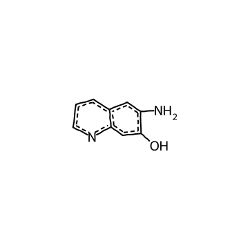 Nc1cc2cccnc2cc1O